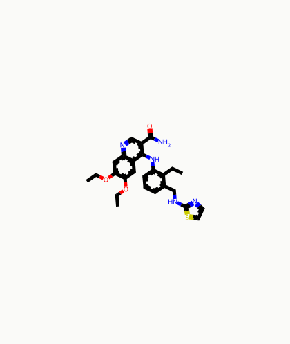 CCOc1cc2ncc(C(N)=O)c(Nc3cccc(CNc4nccs4)c3CC)c2cc1OCC